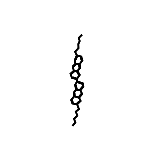 CCCCCCc1ccc2cc3cc(-c4ccc5cc6cc(CCCCCC)ccc6cc5c4)ccc3cc2c1